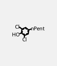 CCCCCc1cc(Cl)c(O)c(Cl)c1